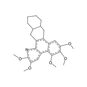 COc1cc2c(nc1OC)c1c(c3cc(OC)c(OC)c(OC)c32)CC2CCCCC2C1